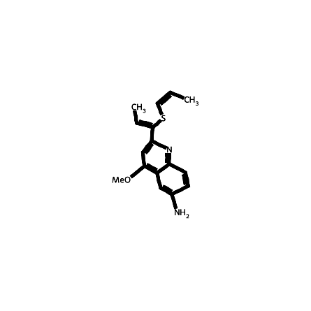 C/C=C\S/C(=C\C)c1cc(OC)c2cc(N)ccc2n1